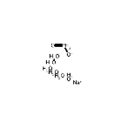 O.O.O.O.O.O.O=[PH2][O-].[Na+]